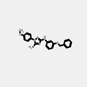 COc1ccc(-n2nc(Nc3cccc(OCc4ccccc4)c3)nc2N)cc1